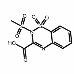 CS(=O)(=O)N1C(C(=O)O)=Nc2ccccc2S1(=O)=O